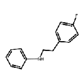 Fc1ccc(CCNc2cc[c]cc2)cc1